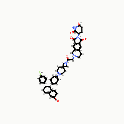 O=C1CC[C@@H](N2C(=O)c3cc4c(cc3C2=O)CN(CC(=O)N2CC3(CCN(c5ccc([C@@H]6c7ccc(O)cc7CC[C@@H]6c6ccc(F)cc6)cc5)CC3)C2)CC4)C(=O)N1